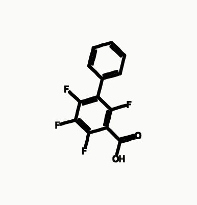 O=C(O)c1c(F)c(F)c(F)c(-c2ccccc2)c1F